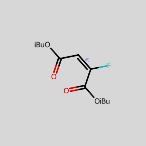 CC(C)COC(=O)/C=C(/F)C(=O)OCC(C)C